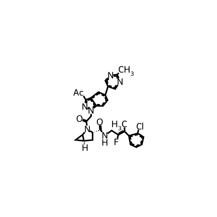 CC(=O)c1nn(CC(=O)N2C3C[C@@H]3C[C@H]2C(=O)NC/C(F)=C(\C)c2ccccc2Cl)c2ccc(-c3cnc(C)nc3)cc12